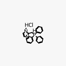 Cl.Cn1ccnc1C[PH](c1ccccc1)(c1ccccc1)c1ccccc1